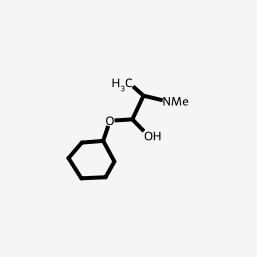 CNC(C)C(O)OC1CCCCC1